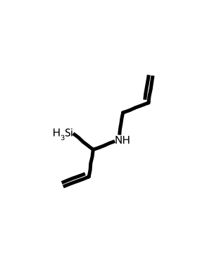 C=CCNC([SiH3])C=C